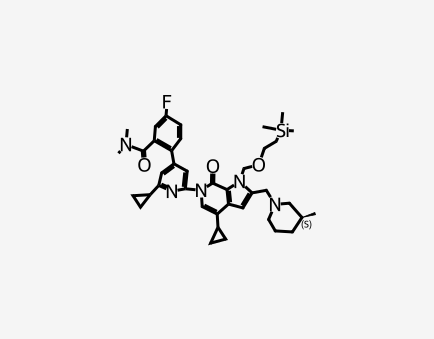 C[C@H]1CCCN(Cc2cc3c(C4CC4)cn(-c4cc(-c5ccc(F)cc5C(=O)N(C)C)cc(C5CC5)n4)c(=O)c3n2COCC[Si](C)(C)C)C1